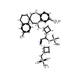 CC(C)(C)[Si](C)(C)OC(/C=C\[C@@H]1CC[C@H]1CS(N)(=O)=O)[C@@H]1CC[C@H]1CN1CC2(CCCc3cc(Cl)ccc32)COc2ccc(C(=O)O)cc21